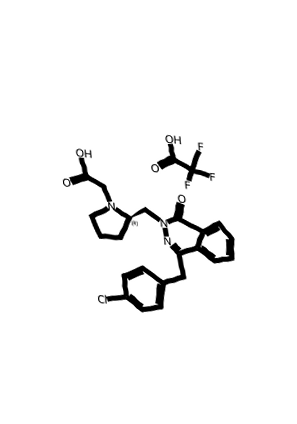 O=C(O)C(F)(F)F.O=C(O)CN1CCC[C@@H]1Cn1nc(Cc2ccc(Cl)cc2)c2ccccc2c1=O